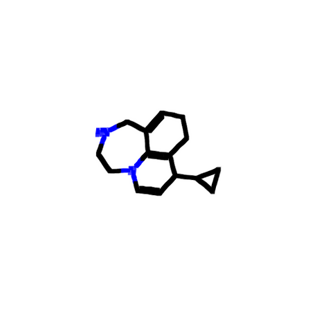 C1=CN2CCNCC3=CCCC(=C32)C1C1CC1